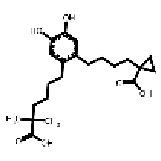 CC(C)(CCCCc1cc(O)c(O)cc1CCCCC1(C(=O)O)CC1)C(=O)O